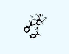 O=C(OC[C@H]1O[C@H](O)[C@H](O)[C@@H](O)[C@@H]1OC(=O)c1ccccc1)c1ccccc1